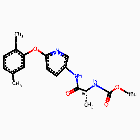 Cc1ccc(C)c(Oc2ccc(NC(=O)[C@@H](C)NC(=O)OC(C)(C)C)cn2)c1